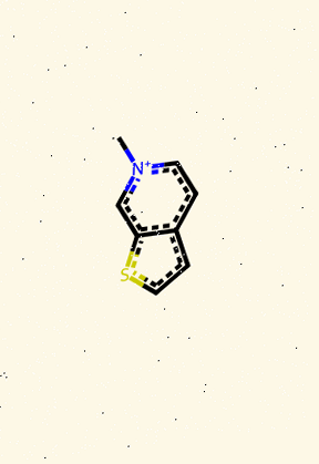 [CH2][n+]1ccc2ccsc2c1